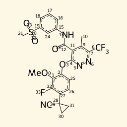 COc1c(Oc2nnc(C(F)(F)F)c(C)c2C(=O)Nc2cccc(S(C)(=O)=O)c2)ccc(C2(C#N)CC2)c1F